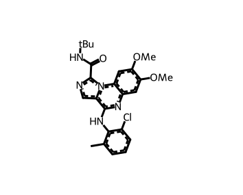 COc1cc2nc(Nc3c(C)cccc3Cl)c3cnc(C(=O)NC(C)(C)C)n3c2cc1OC